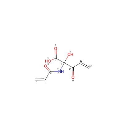 C=CC(=O)NC(O)(C(=O)O)C(=O)C=C